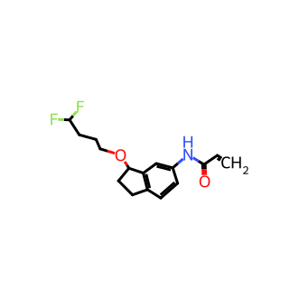 C=CC(=O)Nc1ccc2c(c1)C(OCCCC(F)F)CC2